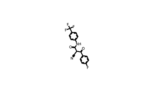 N#CC(C(=O)Nc1ccc(C(F)(F)F)cc1)C(=O)c1ccc(F)cc1